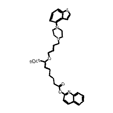 CCCCCCCCC(CCCCCC(=O)Oc1ccc2ccccc2n1)OCCCCN1CCN(c2cccc3sccc23)CC1